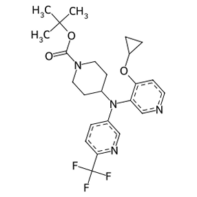 CC(C)(C)OC(=O)N1CCC(N(c2ccc(C(F)(F)F)nc2)c2cnccc2OC2CC2)CC1